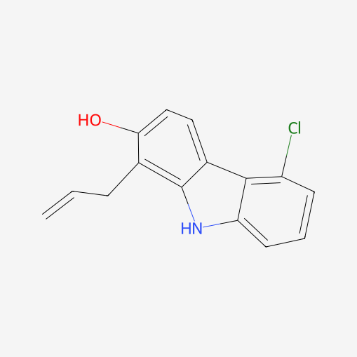 C=CCc1c(O)ccc2c1[nH]c1cccc(Cl)c12